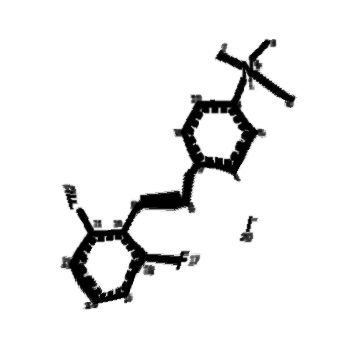 C[N+](C)(C)c1ccc(/C=C/c2c(F)cccc2F)cc1.[I-]